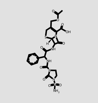 CC(=O)OCC1=C(C(=O)O)N2C(=O)C(NC(=O)C(NC(=O)N3CCN(S(N)(=O)=O)C3=O)c3ccccc3)[C@@H]2SC1